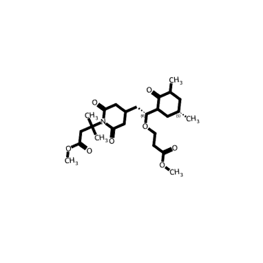 COC(=O)CCO[C@H](CC1CC(=O)N(C(C)(C)CC(=O)OC)C(=O)C1)C1C[C@@H](C)CC(C)C1=O